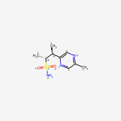 Cc1cnc([C@H](C)[C@@H](C)S(N)(=O)=O)cn1